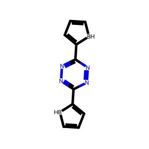 B1C=CC=C1c1nnc(C2=CC=CB2)nn1